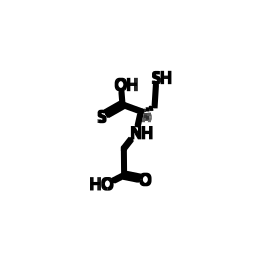 O=C(O)CN[C@@H](CS)C(O)=S